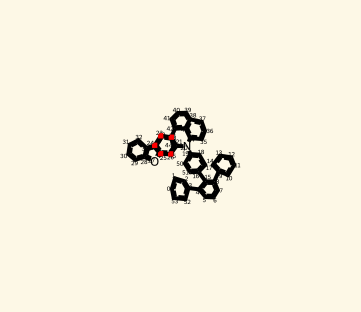 c1ccc(-c2cccc(-c3ccccc3)c2-c2ccc(N(c3ccc4c(c3)oc3ccccc34)c3cccc4cccc(C5CCCCC5)c34)cc2)cc1